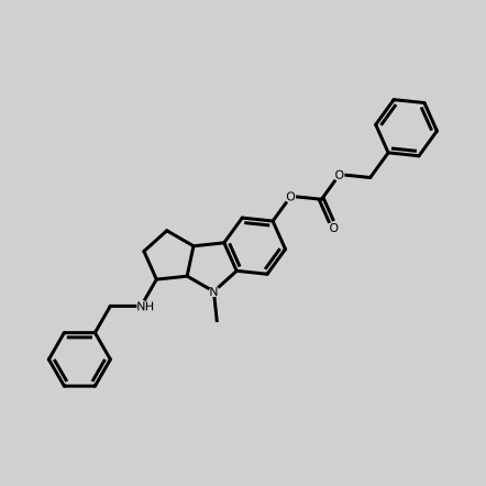 CN1c2ccc(OC(=O)OCc3ccccc3)cc2C2CCC(NCc3ccccc3)C21